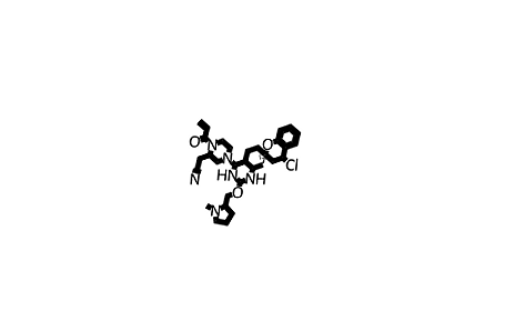 C=CC(=O)N1CCN(C2NC(OCC3CCCN3C)NC3C[C@@]4(CCC32)CC(Cl)c2ccccc2O4)CC1CC#N